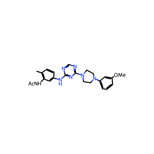 COc1cccc(N2CCN(c3ncnc(Nc4ccc(C)c(NC(C)=O)c4)n3)CC2)c1